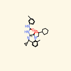 Cc1cccc(NC(=O)N[C@@H]2N=C(C3CC3)c3cccc(C)c3N(CC(=O)C3CCCCC3)C2=O)c1